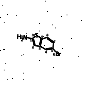 Nc1cc2cc(Br)ccc2s1